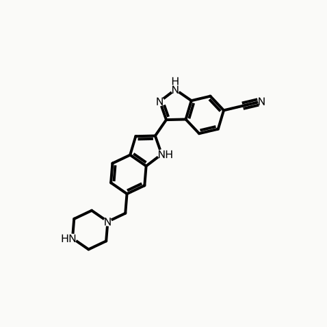 N#Cc1ccc2c(-c3cc4ccc(CN5CCNCC5)cc4[nH]3)n[nH]c2c1